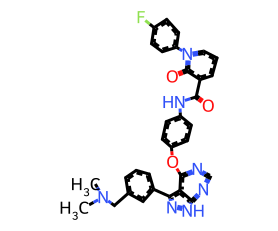 CN(C)Cc1cccc(-c2n[nH]c3ncnc(Oc4ccc(NC(=O)c5cccn(-c6ccc(F)cc6)c5=O)cc4)c23)c1